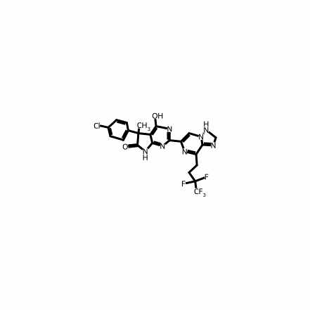 CC1(c2ccc(Cl)cc2)C(=O)Nc2nc(C3=CN4NCN=C4C(CCC(F)(F)C(F)(F)F)=N3)nc(O)c21